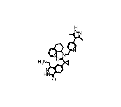 Cc1n[nH]c(C)c1-c1ccc(CN(C(=O)C2(c3ccc4c(=O)[nH]nc(CN)c4c3)CC2)C2CCCc3cccnc32)nc1